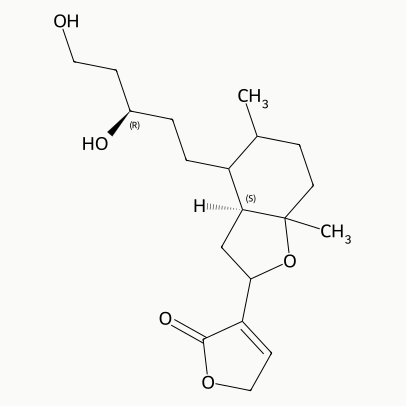 CC1CCC2(C)OC(C3=CCOC3=O)C[C@H]2C1CC[C@@H](O)CCO